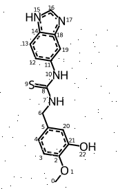 COc1ccc(CNC(=S)Nc2ccc3[nH]cnc3c2)cc1O